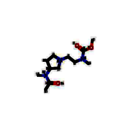 COC(=O)N(C)CCN1CCC(N(C)C(C)=O)C1